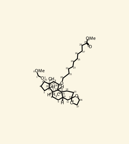 COCO[C@H]1CC[C@H]2[C@@H]3CC[C@H]4CC5(CC[C@]4(C)[C@H]3[C@@H](OCCCCCCCCCC(=O)OC)C[C@]12C)OCCO5